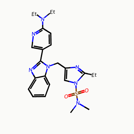 CCc1nc(Cn2c(-c3ccc(N(CC)CC)nc3)nc3ccccc32)cn1S(=O)(=O)N(C)C